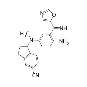 CN(c1ccc(N)c(C(=N)c2cnco2)c1)C1CCc2cc(C#N)ccc21